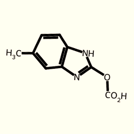 Cc1ccc2[nH]c(OC(=O)O)nc2c1